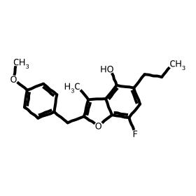 CCCc1cc(F)c2oc(Cc3ccc(OC)cc3)c(C)c2c1O